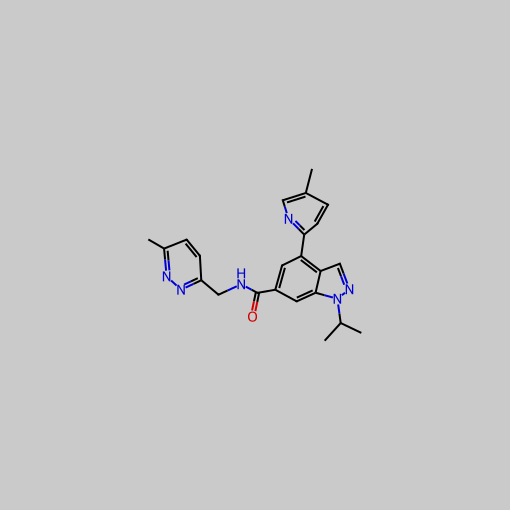 Cc1ccc(-c2cc(C(=O)NCc3ccc(C)nn3)cc3c2cnn3C(C)C)nc1